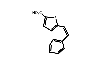 O=C(O)c1ccc(/C=C\c2ccccc2)s1